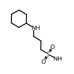 [NH]S(=O)(=O)CCCNC1CCCCC1